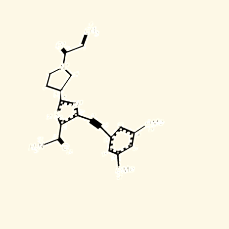 C=CC(=O)N1CC[C@H](c2nc(C#Cc3cc(OC)cc(OC)c3)c(C(N)=O)s2)C1